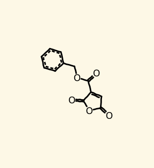 O=C1C=C(C(=O)OCc2ccccc2)C(=O)O1